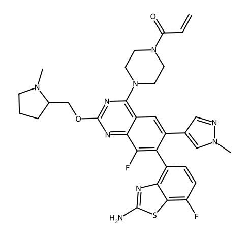 C=CC(=O)N1CCN(c2nc(OCC3CCCN3C)nc3c(F)c(-c4ccc(F)c5sc(N)nc45)c(-c4cnn(C)c4)cc23)CC1